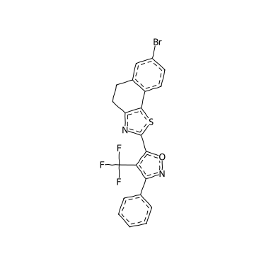 FC(F)(F)c1c(-c2ccccc2)noc1-c1nc2c(s1)-c1ccc(Br)cc1CC2